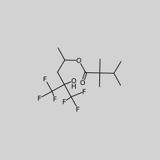 CC(CC(O)(C(F)(F)F)C(F)(F)F)OC(=O)C(C)(C)C(C)C